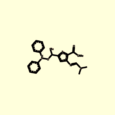 COC(=O)c1sc(C(O[SiH](c2ccccc2)c2ccccc2)C(C)(C)C)cc1/N=C/N(C)C